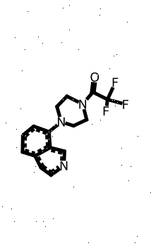 O=C(N1CCN(c2cccc3ccncc23)CC1)C(F)(F)F